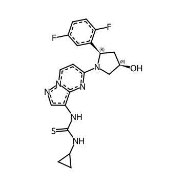 O[C@@H]1C[C@H](c2cc(F)ccc2F)N(c2ccn3ncc(NC(=S)NC4CC4)c3n2)C1